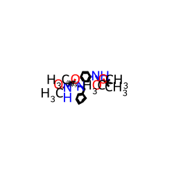 CC(=O)N[C@H](C)[C@H]1CN(Cc2ccccc2)c2cc(NC(=O)OC(C)(C)C)ccc2O1